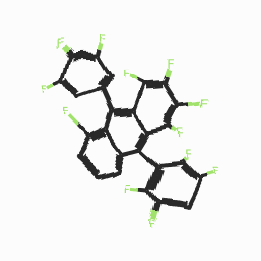 Fc1cc(-c2c3c(F)cccc3c(-c3c(F)c(F)cc(F)c3F)c3c(F)c(F)c(F)c(F)c23)cc(F)c1F